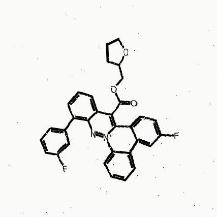 O=C(OCC1CCCO1)c1c2cccc(-c3cccc(F)c3)c2n[n+]2c3ccccc3c3cc(F)ccc3c12